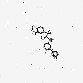 Cc1ccc(NC(=O)C2(c3ccc4c(c3)OCO4)CC2)cc1-c1ccn(C)n1